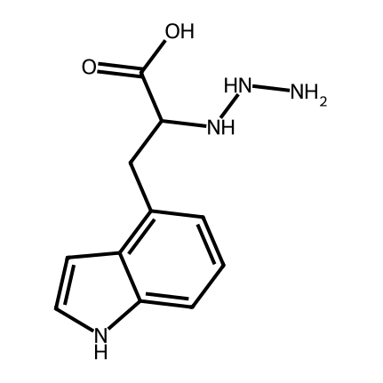 NNNC(Cc1cccc2[nH]ccc12)C(=O)O